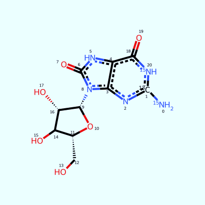 [15NH2][13c]1nc2c([nH]c(=O)n2[C@@H]2O[C@H](CO)C(O)[C@@H]2O)c(=O)[15nH]1